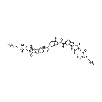 NCCC[C@H](N)C(=O)CCN(N)C(=O)c1cc2ccc(NC(=O)c3ccc4[nH]c(C(=O)Nc5ccc6cc(C(=O)N(N)CCC(=O)[C@@H](N)CCCN)[nH]c6c5)cc4c3)cc2[nH]1